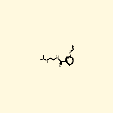 CCOc1cccc(C(=O)NCCNC(C)C)c1